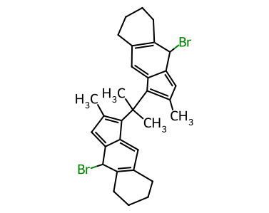 CC1=C(C(C)(C)C2=C(C)C=C3C2=CC2=C(CCCC2)C3Br)C2=CC3=C(CCCC3)C(Br)C2=C1